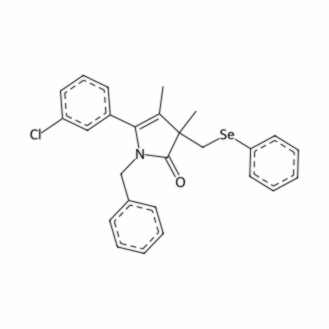 CC1=C(c2cccc(Cl)c2)N(Cc2ccccc2)C(=O)C1(C)C[Se]c1ccccc1